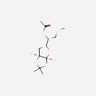 CSC[C@H](OC(C)=O)[C@@H]1C[C@H]2OC(C)(C)O[C@H]2O1